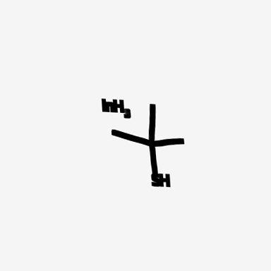 CC(C)(C)S.[InH3]